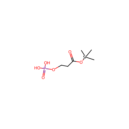 C[Si](C)(C)OC(=O)CCOP(=O)(O)O